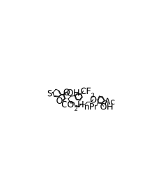 CCCc1c(OCCCC/C=C\C=C\[C@H](c2c(C(=O)O)oc3c(c2=O)=CCC(=S)C=3)[C@H](O)c2cccc(C(F)(F)F)c2)ccc(C(C)=O)c1O